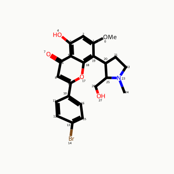 COc1cc(O)c2c(=O)cc(-c3ccc(Br)cc3)oc2c1C1CCN(C)C1CO